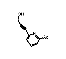 CC(=O)c1cccc(C#CCO)n1